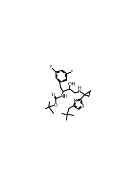 CC(C)(C)Cc1csc(C2(NCC(O)C(Cc3cc(F)cc(F)c3)NC(=O)OC(C)(C)C)CC2)n1